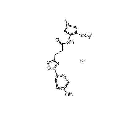 Cn1cc(NC(=O)CCc2nc(-c3ccc(O)cn3)no2)c(C(=O)O)c1.[K]